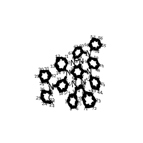 c1ccc(-c2nc3c(N(c4ccccc4)c4cccc(N(c5ccccc5)c5ccccc5)c4)c4nsnc4c(N(c4ccccc4)c4cccc(N(c5ccccc5)c5ccccc5)c4)c3nc2-c2ccccc2)cc1